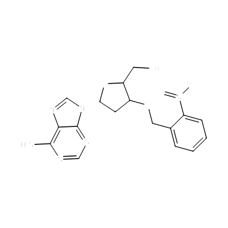 CCC1O[C@@H](n2cnc3c(N)ncnc32)CC1OCc1ccccc1[N+](=O)[O-]